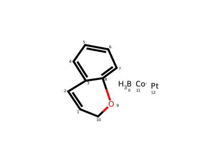 B.C1=Cc2ccccc2OC1.[Co].[Pt]